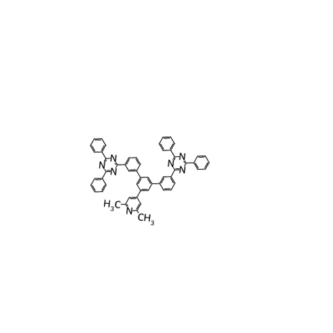 Cc1cc(-c2cc(-c3cccc(-c4nc(-c5ccccc5)nc(-c5ccccc5)n4)c3)cc(-c3cccc(-c4nc(-c5ccccc5)nc(-c5ccccc5)n4)c3)c2)cc(C)n1